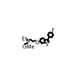 CCN(CCCOc1ccc2c(-c3ccc(F)cc3)csc2c1)CCOC